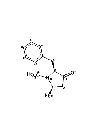 CC[C@@H]1CC(=O)[C@H](Cc2ccccc2)N1C(=O)O